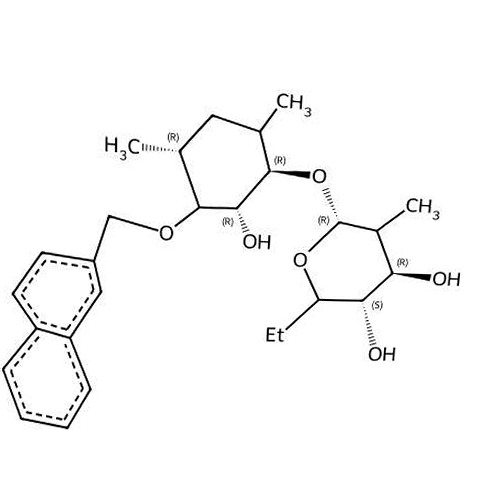 CCC1O[C@H](O[C@@H]2C(C)C[C@@H](C)C(OCc3ccc4ccccc4c3)[C@H]2O)C(C)[C@@H](O)[C@@H]1O